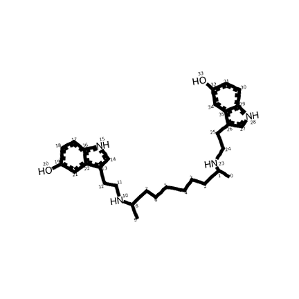 CC(CCCCCCC(C)NCCc1c[nH]c2ccc(O)cc12)NCCc1c[nH]c2ccc(O)cc12